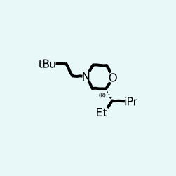 CCC(C(C)C)[C@@H]1CN(CCC(C)(C)C)CCO1